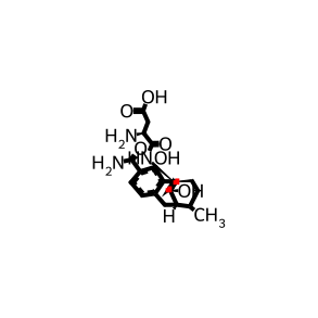 CC1CC[C@]23C[C@H](NC(=O)[C@@H](N)CC(=O)O)CC[C@@]2(O)[C@H]1Cc1ccc(C(N)=O)c(O)c13